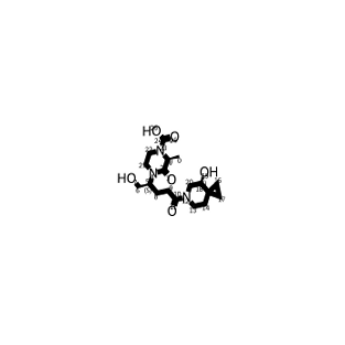 C[C@H]1C(=O)N([C@H](CO)CCC(=O)N2CCC3(CC3)[C@H](O)C2)CCN1C(=O)O